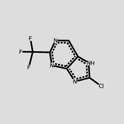 FC(F)(F)c1ncc2[nH]c(Cl)nc2n1